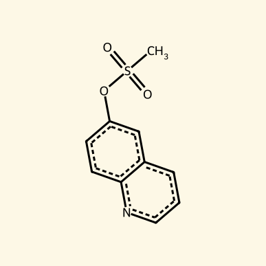 CS(=O)(=O)Oc1ccc2ncccc2c1